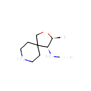 C[C@@H]1OCC2(CCNCC2)[C@@H]1NC(=O)O